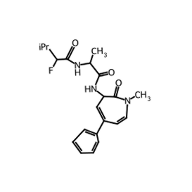 CC(NC(=O)C(F)C(C)C)C(=O)NC1C=C(c2ccccc2)C=CN(C)C1=O